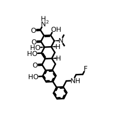 CN(C)[C@@H]1C(O)=C(C(N)=O)C(=O)[C@@]2(O)C(O)=C3C(=O)c4c(O)cc(-c5ccccc5CNCCF)cc4C[C@H]3C[C@@H]12